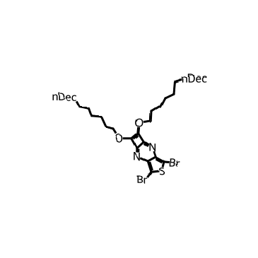 CCCCCCCCCCCCCCCCOC1=C(OCCCCCCCCCCCCCCCC)c2nc3c(Br)sc(Br)c3nc21